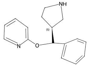 c1ccc(C(Oc2ccccn2)[C@H]2CCNC2)cc1